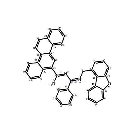 N/C(=N\C(=N/Cc1cccc2oc3ccccc3c12)c1ccccc1)c1cc2c3ccccc3ccc2c2ccccc12